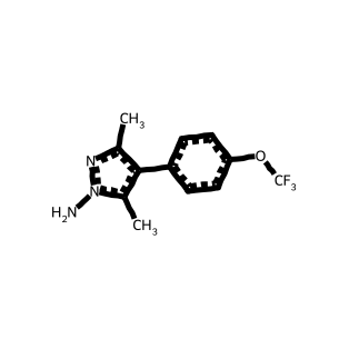 Cc1nn(N)c(C)c1-c1ccc(OC(F)(F)F)cc1